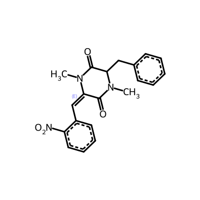 CN1C(=O)C(Cc2ccccc2)N(C)C(=O)/C1=C\c1ccccc1[N+](=O)[O-]